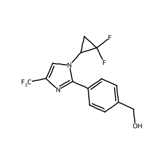 OCc1ccc(-c2nc(C(F)(F)F)cn2C2CC2(F)F)cc1